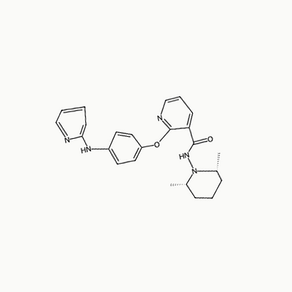 C[C@@H]1CCC[C@H](C)N1NC(=O)c1cccnc1Oc1ccc(Nc2ccccn2)cc1